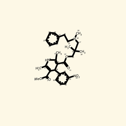 COC(=O)C1=C(C)NC(C)=C(C(=O)OCC(C)(C)CN(C)CCc2ccccc2)C1c1cccc([N+](=O)[O-])c1